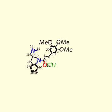 COc1cc(CCC(=O)N2CC(CN(C)C)Cc3ccccc32)cc(OC)c1OC.Cl